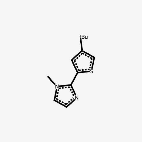 Cn1ccnc1-c1cc(C(C)(C)C)cs1